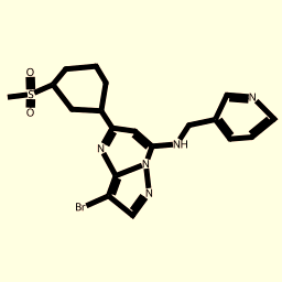 CS(=O)(=O)C1CCCC(c2cc(NCc3cccnc3)n3ncc(Br)c3n2)C1